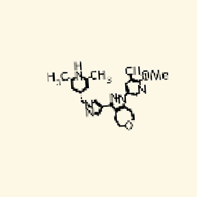 COc1ncc(-n2nc(-c3cnn(C[C@H]4C[C@@H](C)N[C@@H](C)C4)c3)c3c2CCOCC3)cc1C